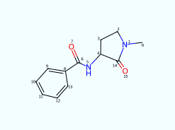 CN1CCC(NC(=O)c2ccccc2)C1=O